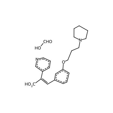 O=C(O)C(=Cc1cccc(OCCCN2CCCCC2)c1)c1cccnc1.O=CO